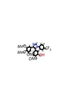 COc1ccc(-c2c(-c3cc(OC)c(OC)c(OC)c3)ncn2-c2ccc(C(F)(F)F)cc2)cc1O